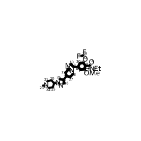 CCNC(=O)c1c(OC)cc(-c2cnc3cc(-c4cnn(C5CCN(C)CC5)c4)ccn23)cc1OC(F)F